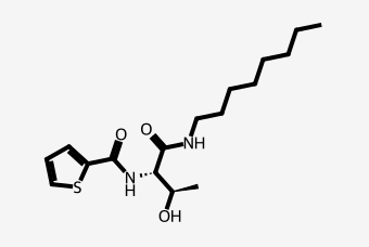 CCCCCCCCNC(=O)[C@@H](NC(=O)c1cccs1)[C@@H](C)O